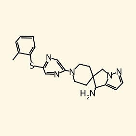 Cc1ccccc1Sc1cnc(N2CCC3(CC2)Cn2nccc2[C@H]3N)cn1